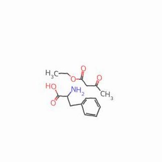 CCOC(=O)CC(C)=O.NC(Cc1ccccc1)C(=O)O